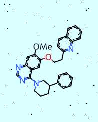 COc1cc2ncnc(N3CCCC(c4ccccc4)C3)c2cc1OCCc1ccc2ccccc2n1